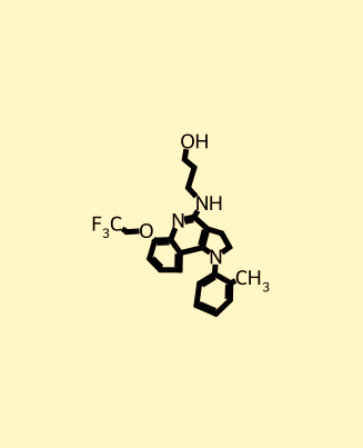 Cc1ccccc1N1CCc2c(NCCCO)nc3c(OCC(F)(F)F)cccc3c21